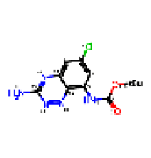 CC(C)(C)OC(=O)Nc1cc(Cl)cc2nc(N)nnc12